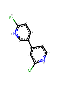 Clc1cc(-c2ccc(Br)nc2)ccn1